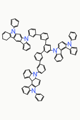 C1=Cc2c(c3cc4c5ccccc5n(-c5cccc(-c6cccc(-c7cc(-c8cccc(-c9cccc(N%10c%11ccccc%11C%11c%12c(n(-c%13ccccc%13)c%13ccccc%12%13)C=CC%11%10)c9)c8)cc(-n8c9ccccc9c9c%10c%11ccccc%11n(-c%11ccccc%11)c%10ccc98)c7)c6)c5)c4cc3n2-c2ccccc2)CC1